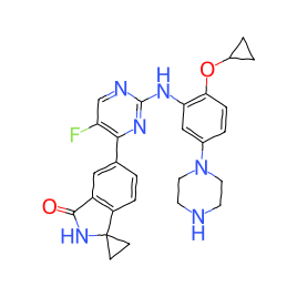 O=C1NC2(CC2)c2ccc(-c3nc(Nc4cc(N5CCNCC5)ccc4OC4CC4)ncc3F)cc21